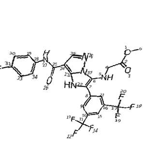 COC(=O)CNc1c(-c2cc(C(F)(F)F)cc(C(F)(F)F)c2)[nH]c2c(C(=O)Nc3ccc(F)cc3)cnn12